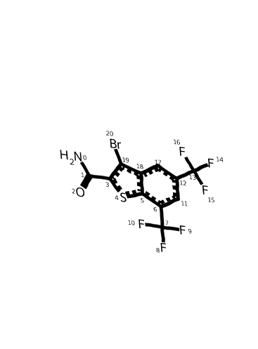 NC(=O)c1sc2c(C(F)(F)F)cc(C(F)(F)F)cc2c1Br